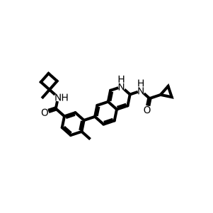 Cc1ccc(C(=O)NC2(C)CCC2)cc1-c1ccc2c(c1)=CNC(NC(=O)C1CC1)C=2